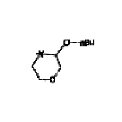 CCCCOC1COCC[N]1